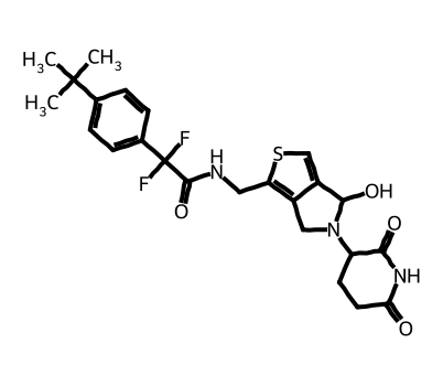 CC(C)(C)c1ccc(C(F)(F)C(=O)NCc2scc3c2CN(C2CCC(=O)NC2=O)C3O)cc1